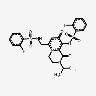 CC(C)N1CCn2c(CNS(=O)(=O)c3ccccc3F)cc(=O)c(OS(=O)(=O)c3ccccc3F)c2C1=O